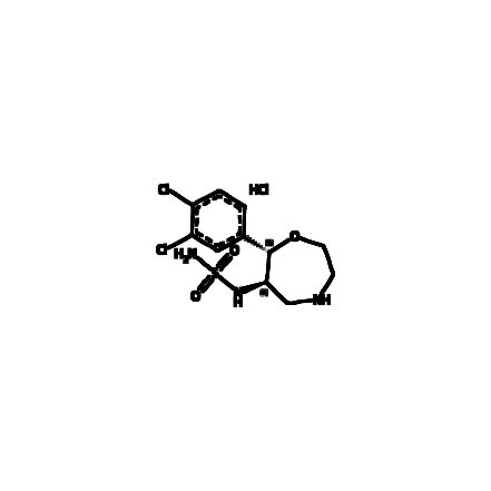 Cl.NS(=O)(=O)N[C@@H]1CNCCO[C@H]1c1ccc(Cl)c(Cl)c1